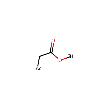 [2H]OC(=O)CC(C)=O